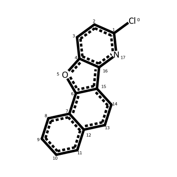 Clc1ccc2oc3c4ccccc4ccc3c2n1